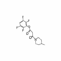 CC1CCN(C(=O)CC(=O)Oc2c(F)c(F)cc(F)c2F)CC1